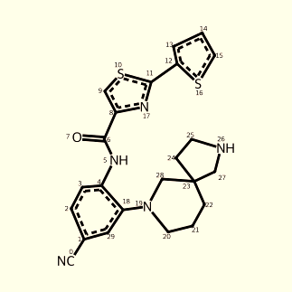 N#Cc1ccc(NC(=O)c2csc(-c3cccs3)n2)c(N2CCCC3(CCNC3)C2)c1